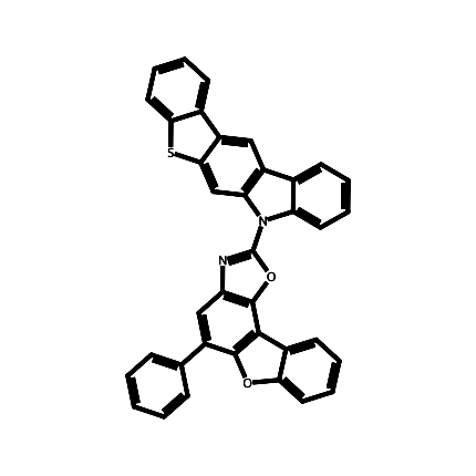 c1ccc(-c2cc3nc(-n4c5ccccc5c5cc6c(cc54)sc4ccccc46)oc3c3c2oc2ccccc23)cc1